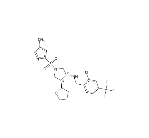 Cn1cnc(S(=O)(=O)N2C[C@H](NCc3ccc(C(F)(F)F)cc3Cl)[C@@H](C3CCCO3)C2)c1